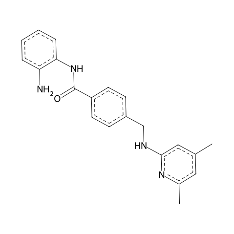 Cc1cc(C)nc(NCc2ccc(C(=O)Nc3ccccc3N)cc2)c1